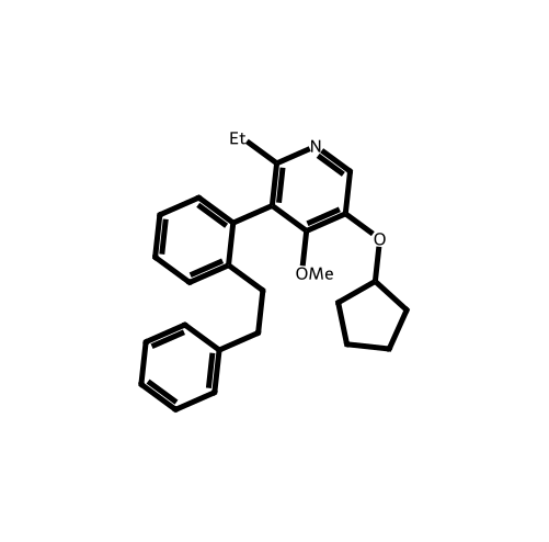 CCc1ncc(OC2CCCC2)c(OC)c1-c1ccccc1CCc1ccccc1